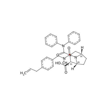 C=CCc1ccc(CN(C)C(=O)N2[C@H]3CC[C@@H]2[C@@H](C(=O)O)N(C(=O)N(c2ccccc2)c2ccccc2)C3)cc1